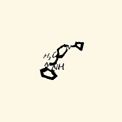 CC1(c2nc3ccccc3[nH]2)CCN(C2CCC2)CC1